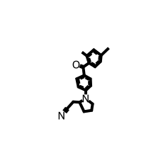 Cc1ccc(C(=O)c2ccc(N3CCCC3CC#N)cc2)c(C)c1